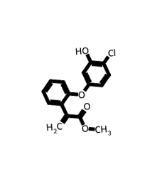 C=C(C(=O)OC)c1ccccc1Oc1ccc(Cl)c(O)c1